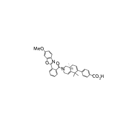 COc1ccc2nc(-c3ccccc3C(=O)N3CC=C4C(C)(C)C(c5ccc(C(=O)O)cc5)=CC[C@]4(C)C3)oc2c1